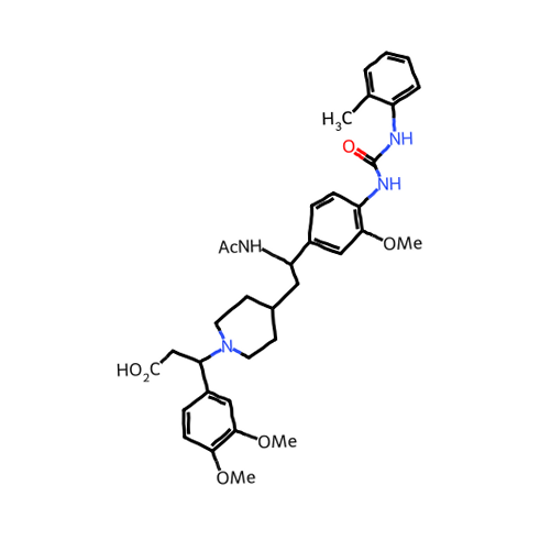 COc1cc(C(CC2CCN(C(CC(=O)O)c3ccc(OC)c(OC)c3)CC2)NC(C)=O)ccc1NC(=O)Nc1ccccc1C